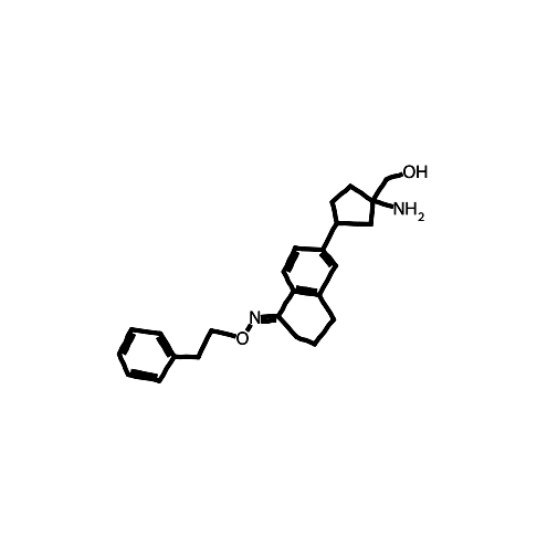 NC1(CO)CCC(c2ccc3c(c2)CCC/C3=N\OCCc2ccccc2)C1